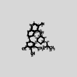 CC(=O)c1cnc2ccc(-c3cc(Cl)c(O)c(Cl)c3)cc2c1N[C@@H]1CCC[C@@H](CN(C)C)C1